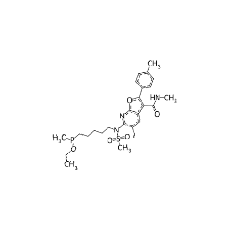 CCOP(C)CCCCCN(c1nc2oc(-c3ccc(C)cc3)c(C(=O)NC)c2cc1I)S(C)(=O)=O